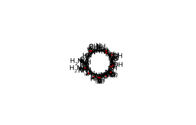 CCCC[C@H]1C(=O)N(C)[C@@H](CCCC)C(=O)N[C@@H](CCCNC(=N)N)C(=O)N[C@H](C(=O)NCC(N)=O)CSCC(=O)N[C@@H](Cc2ccc(O)cc2)C(=O)N(C)[C@@H](C)C(=O)N[C@@H](CCN)C(=O)N2CCC[C@H]2C(=O)N[C@@H](CO)C(=O)N[C@@H](CCC(=O)O)C(=O)N2C[C@H](O)C[C@H]2C(=O)N[C@@H](Cc2c[nH]c3ccccc23)C(=O)N[C@@H](CO)C(=O)N[C@@H](Cc2c[nH]c3ccccc23)C(=O)N1C